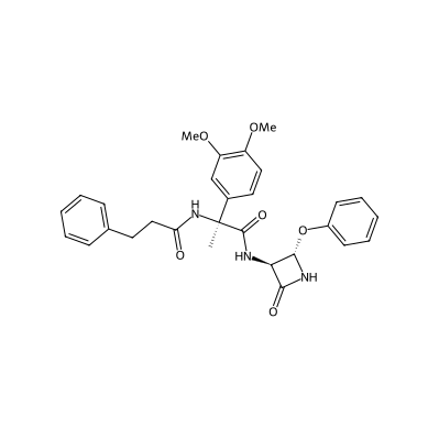 COc1ccc([C@](C)(NC(=O)CCc2ccccc2)C(=O)N[C@@H]2C(=O)N[C@H]2Oc2ccccc2)cc1OC